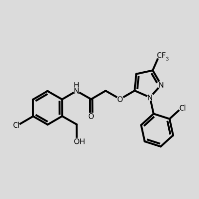 O=C(COc1cc(C(F)(F)F)nn1-c1ccccc1Cl)Nc1ccc(Cl)cc1CO